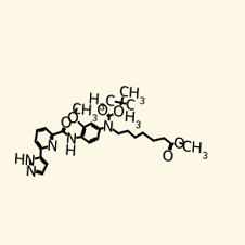 COC(=O)CCCCCCN(C(=O)OC(C)(C)C)c1ccc(NC(=O)c2cccc(-c3ccn[nH]3)n2)c(OC)c1